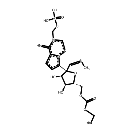 C/N=C\[C@@]1(c2ccc3c(=N)n(COP(=O)(O)O)cnn23)O[C@H](COC(=O)OCC(C)(C)C)[C@@H](O)[C@H]1O